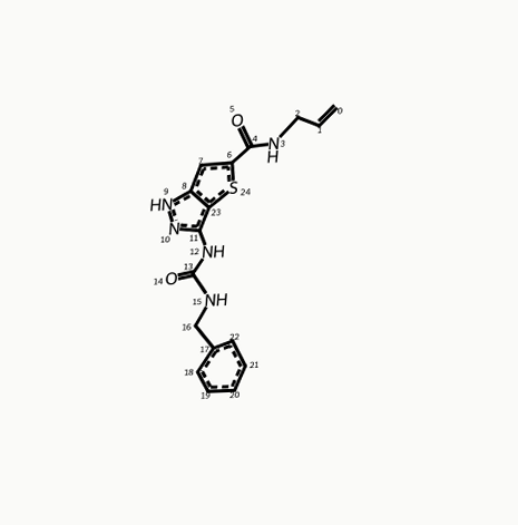 C=CCNC(=O)c1cc2[nH]nc(NC(=O)NCc3ccccc3)c2s1